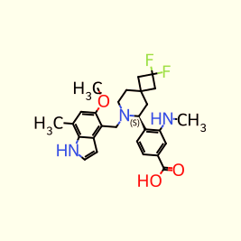 CNc1cc(C(=O)O)ccc1[C@@H]1CC2(CCN1Cc1c(OC)cc(C)c3[nH]ccc13)CC(F)(F)C2